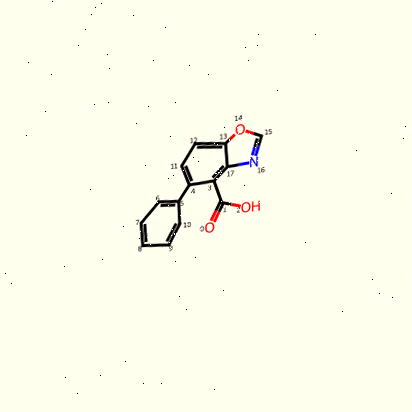 O=C(O)c1c(-c2ccccc2)ccc2ocnc12